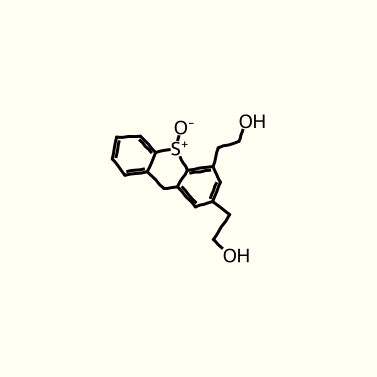 [O-][S+]1c2ccccc2Cc2cc(CCO)cc(CCO)c21